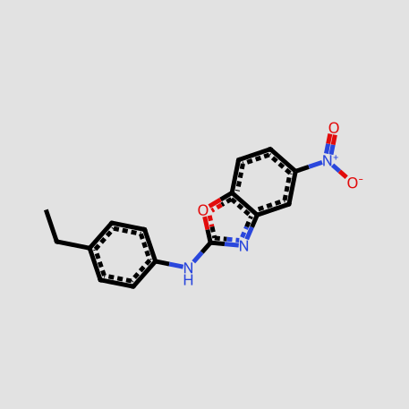 CCc1ccc(Nc2nc3cc([N+](=O)[O-])ccc3o2)cc1